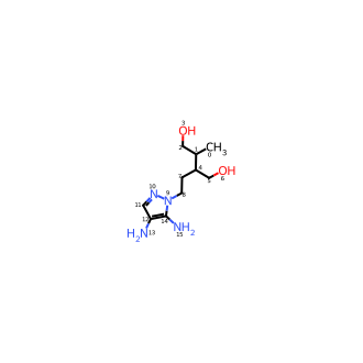 CC(CO)C(CO)CCn1ncc(N)c1N